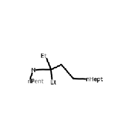 CCCCCCCCCC(CC)(CC)[N]CCCCC